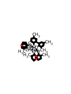 Cc1cc(C)c(OP(Oc2ccccc2C)Oc2ccccc2C)c(-c2cc(C)cc(C)c2O[PH](C)(Oc2ccccc2C)Oc2ccccc2C)c1